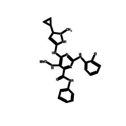 CONc1c(NC2=CC(C3CC3)N(C)N2)nc(Nc2ccccc2Cl)nc1C(=O)Nc1ccccc1